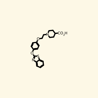 O=C(O)C1CCN(CCOc2ccc(Oc3nc4ccccc4s3)cc2)CC1